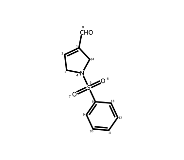 O=CC1=CCN(S(=O)(=O)c2ccccc2)C1